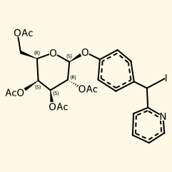 CC(=O)OC[C@H]1O[C@@H](Oc2ccc(C(I)c3ccccn3)cc2)[C@H](OC(C)=O)[C@@H](OC(C)=O)[C@H]1OC(C)=O